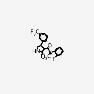 CN(C(=O)C1C(=O)NCC1c1cccc(C(F)(F)F)c1)c1ccccc1F